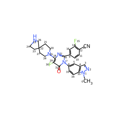 Cn1ncc2cc(-n3c(-c4ccc(C#N)c(F)c4)nc(N4CCC5(CCNC5)CC4)c(F)c3=O)ccc21